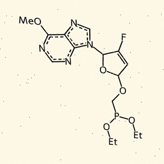 CCOP(COC1C=C(F)C(n2cnc3c(OC)ncnc32)O1)OCC